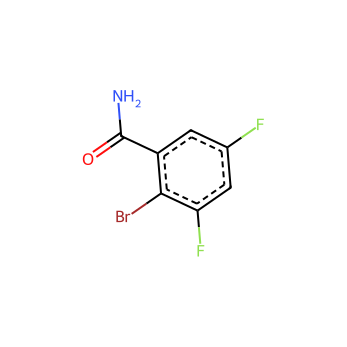 NC(=O)c1cc(F)cc(F)c1Br